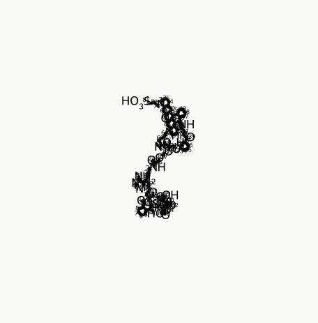 CSSC(C)c1ccccc1C(=O)OC1C[C@H](n2cc(C#CCNC(=O)COCCOC(COc3cccc(C(=O)NCCNC(=O)c4ccccc4C4=C5C=C6CCCN(CCCS(=O)(=O)O)C6C=C5Oc5cc6c(cc54)CCCN6CCCS(=O)(=O)O)c3)N=[N+]=[N-])c3c(N)ncnc32)O[C@@H]1COP(=O)(O)OP(=O)(O)OP(=O)(O)O